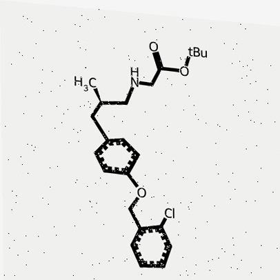 C[C@@H](CNCC(=O)OC(C)(C)C)Cc1ccc(OCc2ccccc2Cl)cc1